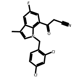 Cc1cn(Cc2ccc(Cl)cc2Cl)c2c(C(=O)CC#N)cc(F)cc12